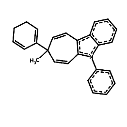 CC1(C2=CCCC=C2)C=Cc2c(n(-c3ccccc3)c3ccccc23)C=C1